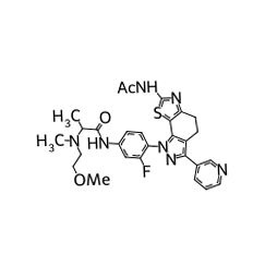 COCCN(C)C(C)C(=O)Nc1ccc(-n2nc(-c3cccnc3)c3c2-c2sc(NC(C)=O)nc2CC3)c(F)c1